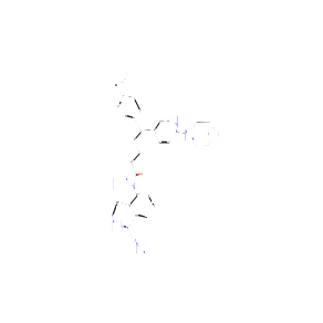 N#Cc1nccc2c(NC(=O)/C=C/C=C(/c3ccc(C(F)(F)F)cc3)c3ccc(N4CCOCC4)nc3)cccc12